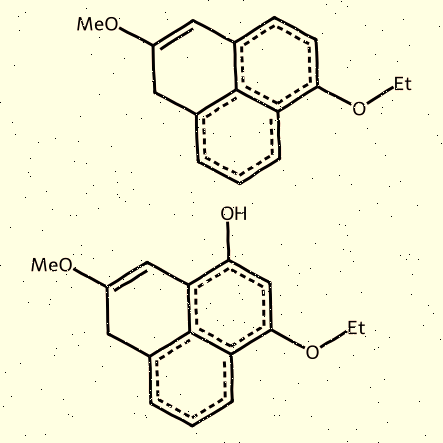 CCOc1cc(O)c2c3c(cccc13)CC(OC)=C2.CCOc1ccc2c3c(cccc13)CC(OC)=C2